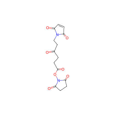 O=C(CCC(=O)ON1C(=O)CCC1=O)CCN1C(=O)C=CC1=O